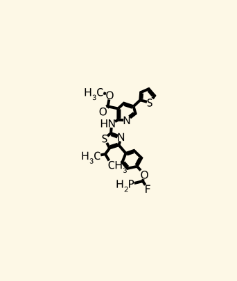 COC(=O)c1cc(-c2cccs2)cnc1Nc1nc(-c2ccc(OC(F)P)cc2)c(C(C)C)s1